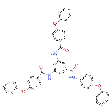 O=C(Nc1cc(NC(=O)c2ccc(Oc3ccccc3)cc2)cc(C(=O)Nc2ccc(Oc3ccccc3)cc2)c1)c1ccc(Oc2ccccc2)cc1